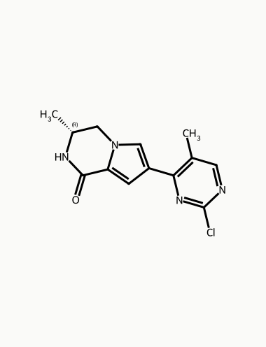 Cc1cnc(Cl)nc1-c1cc2n(c1)C[C@@H](C)NC2=O